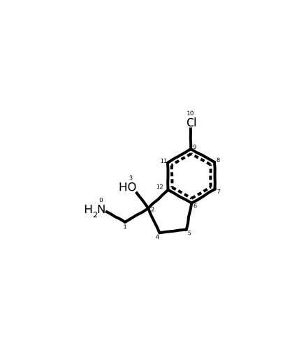 NCC1(O)CCc2ccc(Cl)cc21